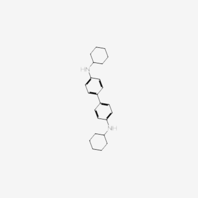 c1cc(-c2ccc(NC3CCCCC3)cc2)ccc1NC1CCCCC1